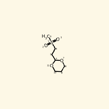 CS(=O)(=O)CCC1OCCCO1